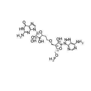 Nc1nc2c(ncn2[C@@H]2OC(CCOC[C@H]3[C@@H](O)[C@H](n4nnc5c(N)ncnc54)O[C@@H]3COP)[C@@H](O)[C@H]2OO)c(=O)[nH]1